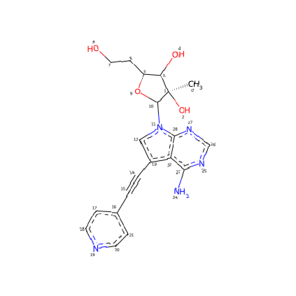 C[C@@]1(O)C(O)C(CCO)OC1n1cc(C#Cc2ccncc2)c2c(N)ncnc21